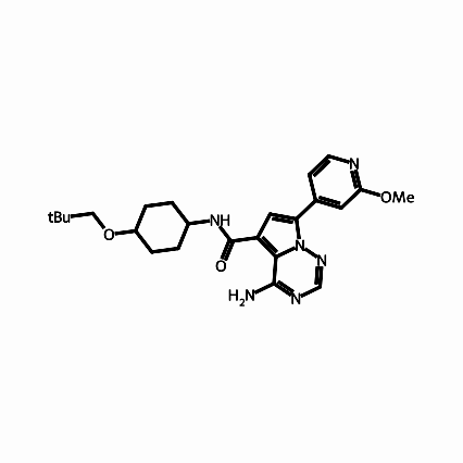 COc1cc(-c2cc(C(=O)NC3CCC(OCC(C)(C)C)CC3)c3c(N)ncnn23)ccn1